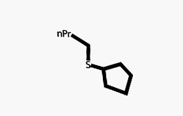 C[CH]CCSC1CCCC1